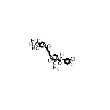 C[C@H]1C(=O)N(CCCC(=O)N2CCC(C)(C)[C@H](O)C2)CCN1C(=O)Nc1ccc(Cl)c(Cl)c1